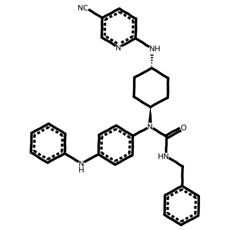 N#Cc1ccc(N[C@H]2CC[C@H](N(C(=O)NCc3ccccc3)c3ccc(Nc4ccccc4)cc3)CC2)nc1